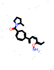 C=C(/C=C\C(=C/C)ON)C1=CCC(C(=O)N2CCCC2C)=CC=C1